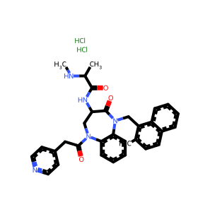 CNC(C)C(=O)NC1CN(C(=O)Cc2ccncc2)c2ccccc2N(Cc2c(C)ccc3ccccc23)C1=O.Cl.Cl